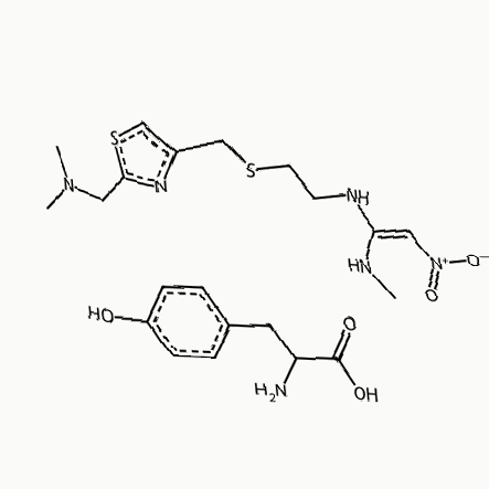 CN/C(=C\[N+](=O)[O-])NCCSCc1csc(CN(C)C)n1.NC(Cc1ccc(O)cc1)C(=O)O